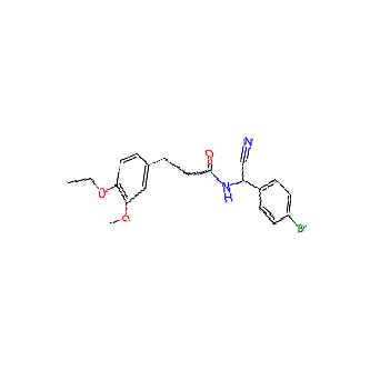 CCOc1ccc(CCC(=O)NC(C#N)c2ccc(Br)cc2)cc1OC